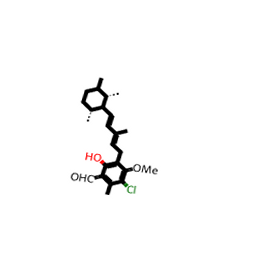 COc1c(Cl)c(C)c(C=O)c(O)c1C/C=C(C)/C=C/C1[C@@H](C)C(C)CC[C@H]1C